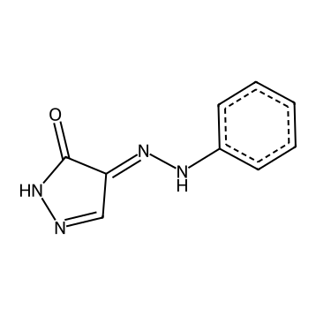 O=C1NN=CC1=NNc1ccccc1